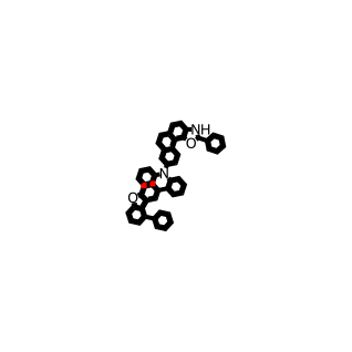 c1ccc(-c2cccc3oc4ccc(-c5ccccc5N(c5ccccc5)c5ccc6c(ccc7ccc8c(c76)OC(c6ccccc6)N8)c5)cc4c23)cc1